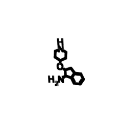 NC1c2ccccc2CC1OC1CCNCC1